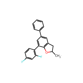 [CH2]C1Cc2cc(-c3ccccc3)cc(-c3ccc(F)cc3F)c2O1